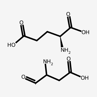 NC([C]=O)CC(=O)O.N[C@@H](CCC(=O)O)C(=O)O